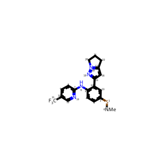 CNSc1ccc(Nc2ccc(C(F)(F)F)cn2)c(-c2cc3n(n2)CCC3)c1